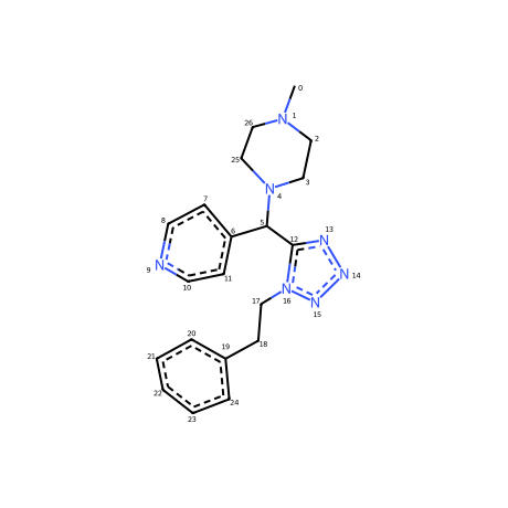 CN1CCN(C(c2ccncc2)c2nnnn2CCc2ccccc2)CC1